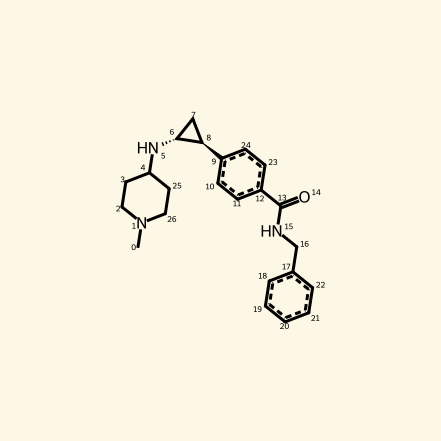 CN1CCC(N[C@@H]2C[C@H]2c2ccc(C(=O)NCc3ccccc3)cc2)CC1